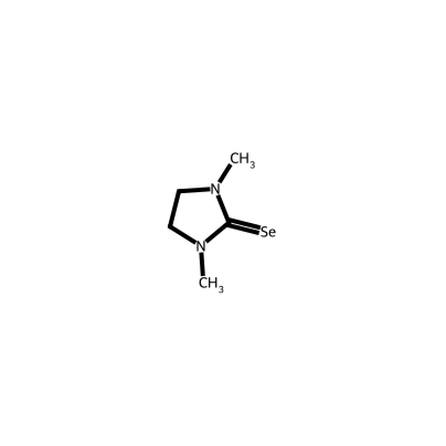 CN1CCN(C)C1=[Se]